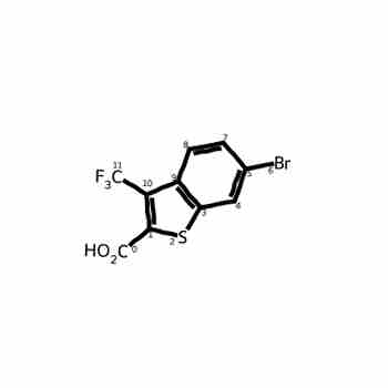 O=C(O)c1sc2cc(Br)ccc2c1C(F)(F)F